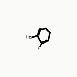 OC1=CC[CH]C=C1F